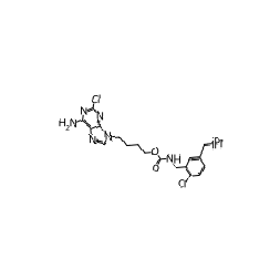 CC(C)Cc1ccc(Cl)c(CNC(=O)OCCCCn2cnc3c(N)nc(Cl)nc32)c1